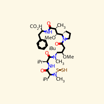 CC[C@H](C)[C@@H]([C@@H](CC(=O)N1CCC[C@H]1[C@H](OC)[C@@H](C)C(=O)N[C@@H](Cc1ccccc1)C(=O)O)OC)N(C)C(=O)[C@@H](NC(=O)[C@H](C(C)C)N(C)SS)C(C)C